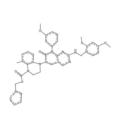 COc1cccc(-n2c(=O)c(N3CCN(C(=O)OCc4ccccc4)c4c(C)cccc43)cc3cnc(NCc4ccc(OC)cc4OC)nc32)c1